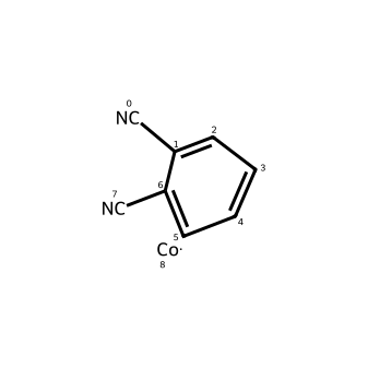 N#Cc1ccccc1C#N.[Co]